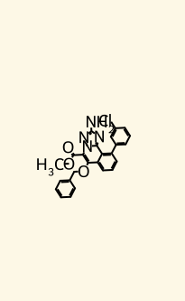 COC(=O)c1c(OCc2ccccc2)c2cccc(-c3cccc(Cl)c3)c2c2nc(N)nn12